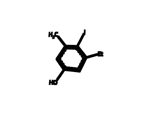 CCc1cc(O)cc(C)c1I